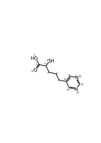 O=C(O)C(S)CCCc1cncnc1